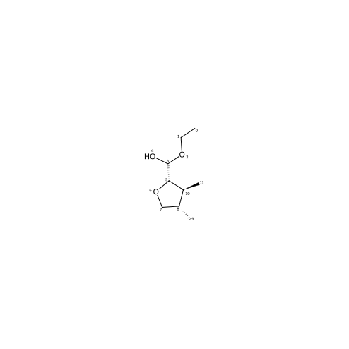 CCOC(O)[C@H]1OC[C@@H](C)[C@@H]1C